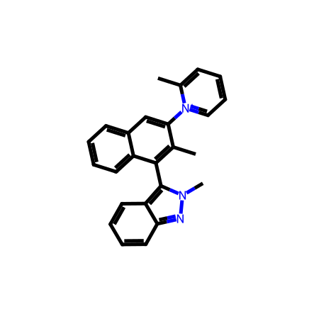 Cc1c(-[n+]2ccccc2C)cc2ccccc2c1-c1c2ccccc2nn1C